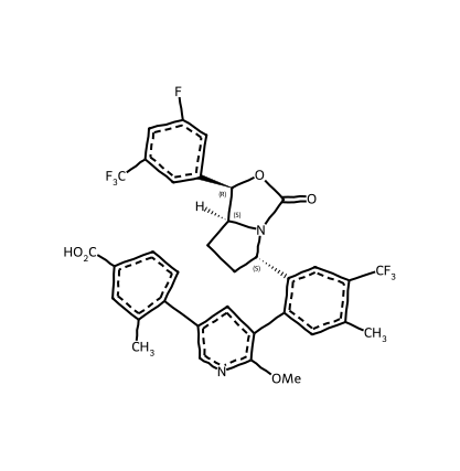 COc1ncc(-c2ccc(C(=O)O)cc2C)cc1-c1cc(C)c(C(F)(F)F)cc1[C@@H]1CC[C@H]2[C@@H](c3cc(F)cc(C(F)(F)F)c3)OC(=O)N12